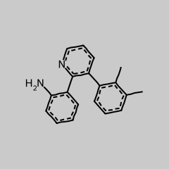 Cc1cccc(-c2cccnc2-c2ccccc2N)c1C